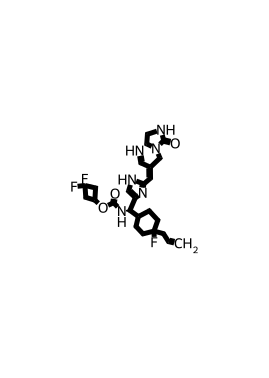 C=CCC1(F)CCC([C@H](NC(=O)OC2CC(F)(F)C2)c2c[nH]c(/C=C(\C=N)CN3CCNC3=O)n2)CC1